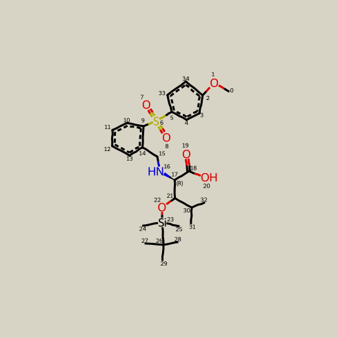 COc1ccc(S(=O)(=O)c2ccccc2CN[C@@H](C(=O)O)C(O[Si](C)(C)C(C)(C)C)C(C)C)cc1